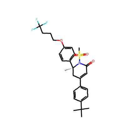 CC(C)(C)c1ccc(C2=CC(=O)N(S(C)(=O)=O)[C@](C)(c3ccc(OCCCC(F)(F)F)cc3)C2)cc1